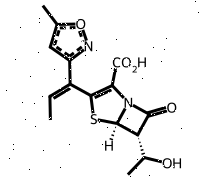 C/C=C(\C1=C(C(=O)O)N2C(=O)[C@H](C(C)O)[C@H]2S1)c1cc(C)on1